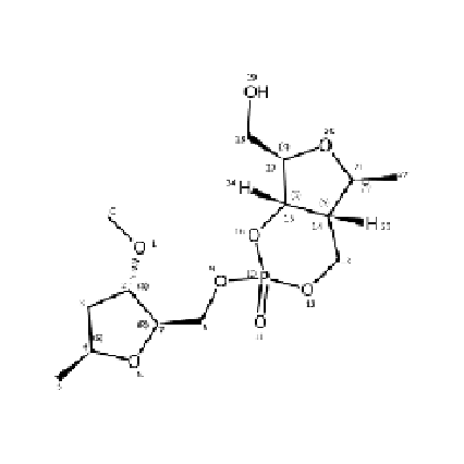 CO[C@H]1C[C@H](C)O[C@@H]1COP1(=O)OC[C@@H]2[C@H](O1)[C@@H](CO)O[C@H]2C